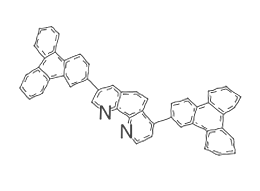 c1ccc2c(c1)c1ccccc1c1cc(-c3cnc4c(ccc5c(-c6ccc7c8ccccc8c8ccccc8c7c6)ccnc54)c3)ccc21